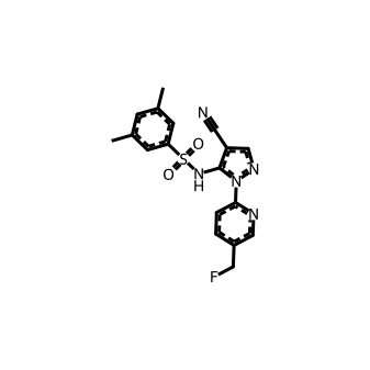 Cc1cc(C)cc(S(=O)(=O)Nc2c(C#N)cnn2-c2ccc(CF)cn2)c1